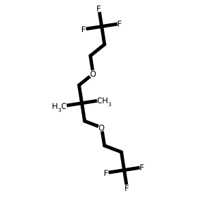 CC(C)(COCCC(F)(F)F)COCCC(F)(F)F